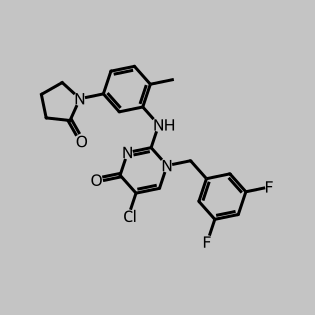 Cc1ccc(N2CCCC2=O)cc1Nc1nc(=O)c(Cl)cn1Cc1cc(F)cc(F)c1